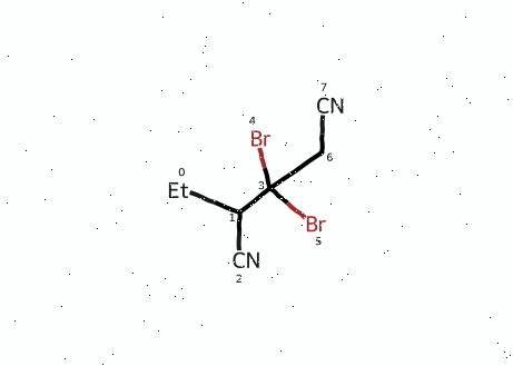 CCC(C#N)C(Br)(Br)CC#N